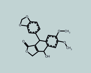 COc1cc2c(cc1OC)C(c1ccc3c(c1)OCO3)C1=C(COC1=O)C2O